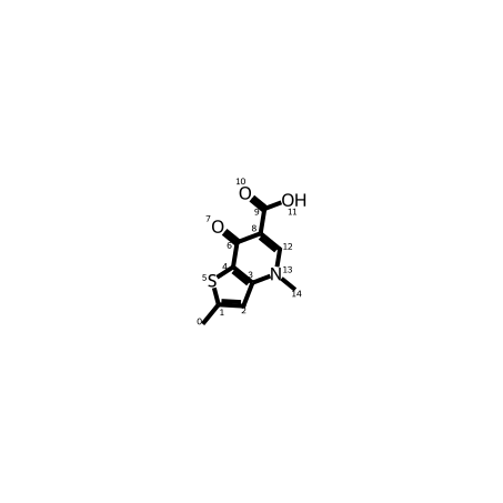 Cc1cc2c(s1)c(=O)c(C(=O)O)cn2C